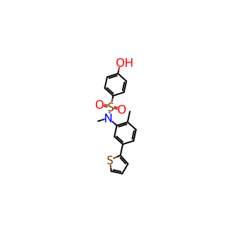 Cc1ccc(-c2cccs2)cc1N(C)S(=O)(=O)c1ccc(O)cc1